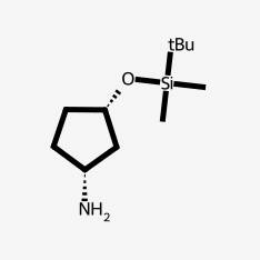 CC(C)(C)[Si](C)(C)O[C@H]1CC[C@@H](N)C1